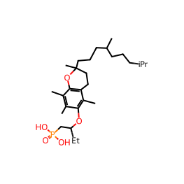 CCC(CP(=O)(O)O)Oc1c(C)c(C)c2c(c1C)CCC(C)(CCCC(C)CCCC(C)C)O2